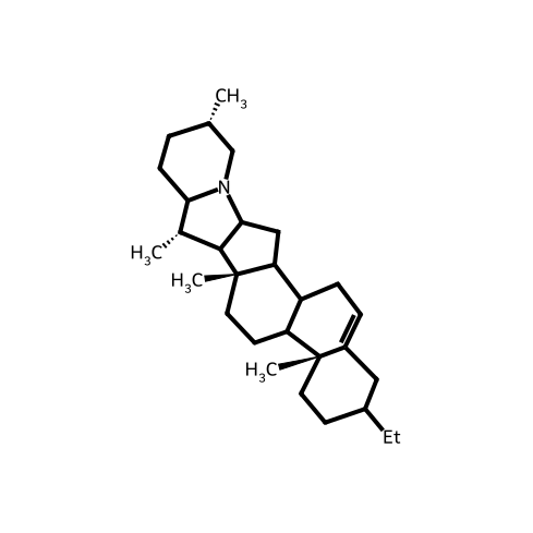 CCC1CC[C@@]2(C)C(=CCC3C4CC5C([C@H](C)C6CC[C@H](C)CN56)[C@@]4(C)CCC32)C1